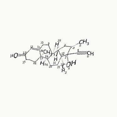 C#CC1(O)C(C)C[C@H]2[C@@H]3CCC4=CC(=O)CC[C@]4(C)[C@@H]3CC[C@@]21C